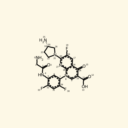 NCC(=O)Nc1cc(-n2cc(C(=O)O)c(=O)c3cc(F)c(N4CC[C@H](N)C4)nc32)c(F)cc1F